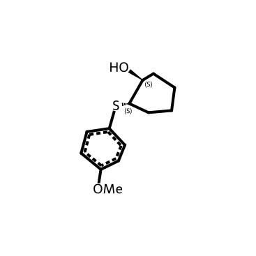 COc1ccc(S[C@H]2CCCC[C@@H]2O)cc1